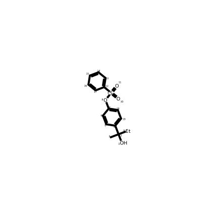 CCC(C)(O)c1ccc(OS(=O)(=O)c2ccccc2)cc1